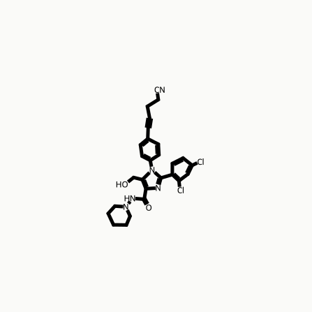 N#CCCC#Cc1ccc(-n2c(-c3ccc(Cl)cc3Cl)nc(C(=O)NN3CCCCC3)c2CO)cc1